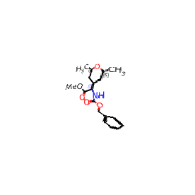 COC(=O)/C(NC(=O)OCc1ccccc1)=C1\C[C@@H](C)O[C@@H](C)C1